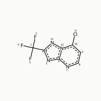 FC(F)(F)c1nc2nccc(Cl)n2n1